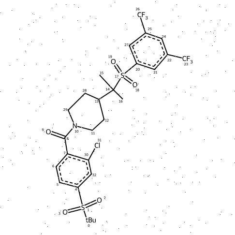 CC(C)(C)S(=O)(=O)c1ccc(C(=O)N2CCC(C(C)(C)S(=O)(=O)c3cc(C(F)(F)F)cc(C(F)(F)F)c3)CC2)c(Cl)c1